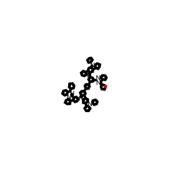 c1ccc(-c2ccc(-n3c4ccc(-c5ccc(-c6cc(-c7nc(-c8ccccc8)c8ccccc8n7)cc(-n7c8ccccc8c8cc9c(cc87)c7ccccc7n9-c7ccccc7)c6)cc5)cc4c4cc5c(cc43)c3ccccc3n5-c3ccccc3)cc2-c2nc(-c3ccccc3)c3ccccc3n2)cc1